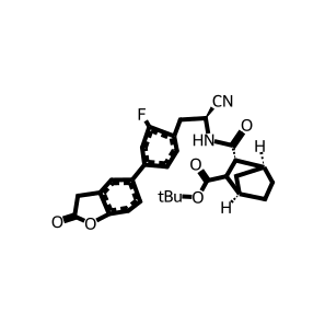 CC(C)(C)OC(=O)C1[C@@H]2CC[C@@H](C2)[C@H]1C(=O)N[C@H](C#N)Cc1ccc(-c2ccc3c(c2)CC(=O)O3)cc1F